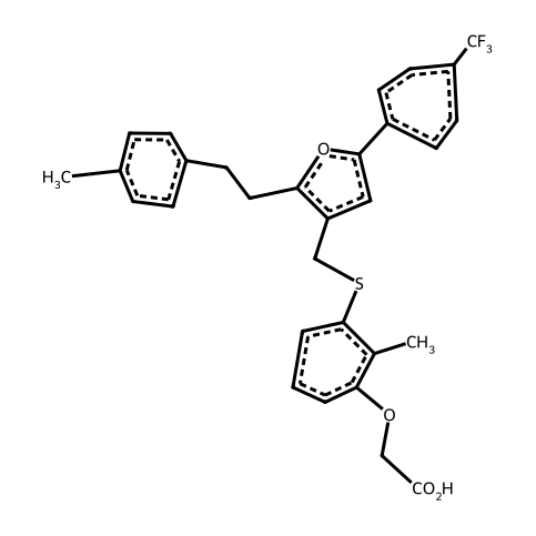 Cc1ccc(CCc2oc(-c3ccc(C(F)(F)F)cc3)cc2CSc2cccc(OCC(=O)O)c2C)cc1